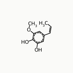 C/C=C\c1cc(O)c(O)c(OC)c1